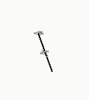 CCCCCCCCCCCCCCOCCC(O)NC(=O)CCCCCCCCCCCCCCC(O)(O)O